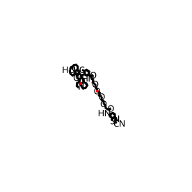 N#Cc1nc2ccc(NC(=O)CCOCCOCCOCCOCCNC(=O)c3ccc(C(=O)O)c(C4=c5cc6c7c(c5Oc5c4cc4c8c5CCCN8CCCC4)CCC[N+]=7CCCC6)c3)cc2s1